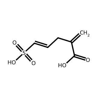 C=C(CC=CS(=O)(=O)O)C(=O)O